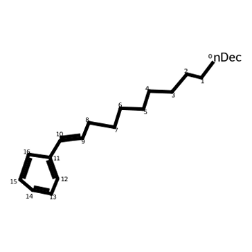 CCCCCCCCCCCCCCCCCCC=Cc1ccccc1